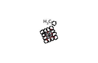 Cc1ccccc1.c1ccc([PH](c2ccccc2)(c2ccccc2)[Pd]([PH](c2ccccc2)(c2ccccc2)c2ccccc2)([PH](c2ccccc2)(c2ccccc2)c2ccccc2)[PH](c2ccccc2)(c2ccccc2)c2ccccc2)cc1